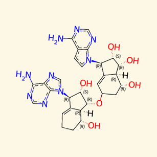 Nc1ncnc2c1ccn2[C@@H]1C2=CC(O[C@H]3[C@@H](O)[C@H](n4cnc5c(N)ncnc54)C4=CCC[C@@H](O)[C@@H]43)C[C@@H](O)[C@@H]2[C@@H](O)[C@H]1O